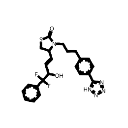 O=C1SCC(C=CC(O)C(F)(F)c2ccccc2)N1CCCc1ccc(-c2nnn[nH]2)cc1